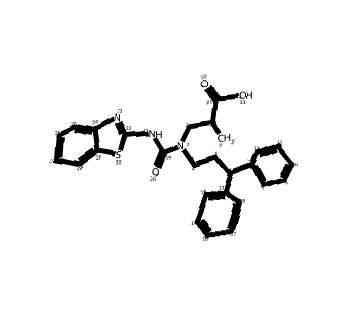 CC(CN(CCC(c1ccccc1)c1ccccc1)C(=O)Nc1nc2ccccc2s1)C(=O)O